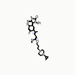 C=N/C(=C\C=C(/C)c1cc2c(cc1F)nnc1c2n(C(C)C)c(=O)n1C)OCCCN1CCN(C2CC2)CC1